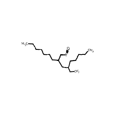 CCCCCCCC(CP=O)CC(CC)CCCCC